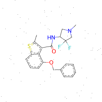 Cc1sc2cccc(OCc3ccccc3)c2c1C(=O)NC1CN(C)CC1(F)F